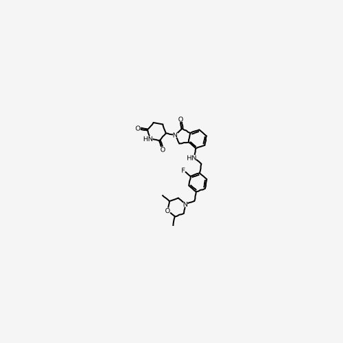 CC1CN(Cc2ccc(CNc3cccc4c3CN(C3CCC(=O)NC3=O)C4=O)c(F)c2)CC(C)O1